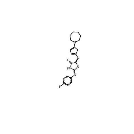 O=C1N/C(=N\c2ccc(F)cc2)S/C1=C/C1=CC=C(N2CCCCCC2)C1